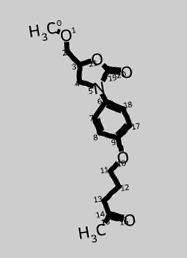 COCC1CN(c2ccc(OCCCC(C)=O)cc2)C(=O)O1